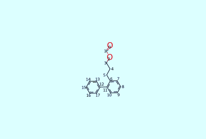 O=COCCCc1ccccc1-c1ccccc1